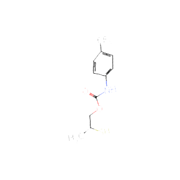 C[C@H](S)COC(=O)Nc1ccc(C(F)(F)F)cc1